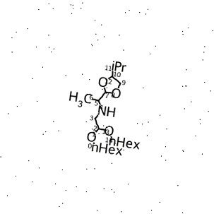 CCCCCCOC(CNC(C)C1OCC(C(C)C)O1)OCCCCCC